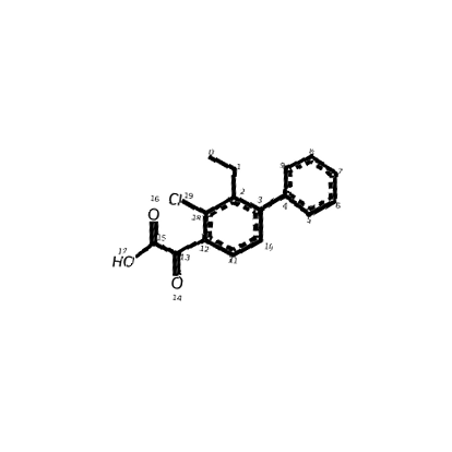 CCc1c(-c2ccccc2)ccc(C(=O)C(=O)O)c1Cl